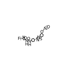 CC(C)(F)c1cc(NC(=O)Nc2ccc(-c3cn4c(n3)sc3ccc(OCCN5CCOCC5)cc34)cc2)on1